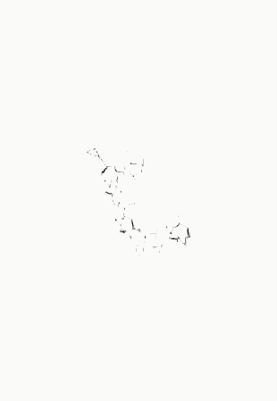 Cc1ccnc([C@H]2C[C@@H]2C(=O)Nc2cc(N[C@H](C)c3cn4cc(C5CC5)cc(N5C(=O)N(C)CC5(C)C)c4n3)nc(C)n2)n1